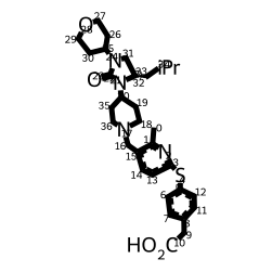 Cc1nc(Sc2ccc(CC(=O)O)cc2)ccc1CN1CCC(N2C(=O)N(C3CCOCC3)C[C@H]2CC(C)C)CC1